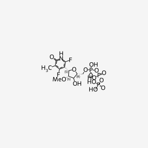 CO[C@H]1C(O)[C@@H](COP(=O)(O)OP(=O)(O)OP(=O)(O)O)O[C@H]1c1c(F)[nH]c(=O)c(C)c1F